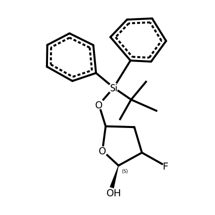 CC(C)(C)[Si](OC1CC(F)[C@@H](O)O1)(c1ccccc1)c1ccccc1